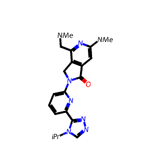 CNCc1nc(NC)cc2c1CN(c1cccc(-c3nncn3C(C)C)n1)C2=O